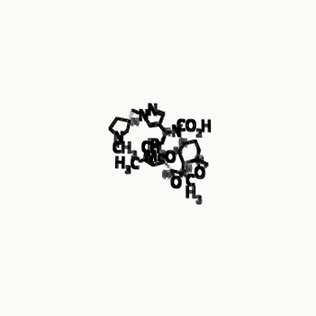 CO[C@@H]1[C@H](N(C(=O)O)[C@H](c2cnn(C[C@H]3CCN(C)C3)c2)C(C)C)CC[C@]2(CO2)[C@H]1[C@@]1(C)O[C@@H]1CC=C(C)C